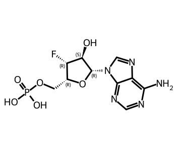 Nc1ncnc2c1ncn2[C@@H]1O[C@H](COP(=O)(O)O)[C@H](F)[C@H]1O